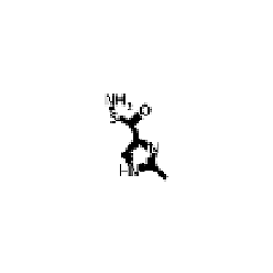 Cc1nc(C(=O)SN)c[nH]1